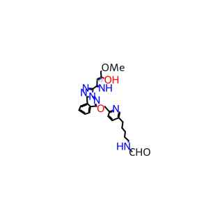 COC/C(O)=C/C(=N)c1nnc2c3ccccc3c(OCc3ccc(CCCCCNC=O)cn3)nn12